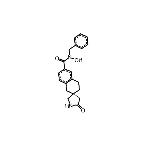 O=C1C[C@]2(CCc3cc(C(=O)N(O)Cc4ccccc4)ccc3C2)CN1